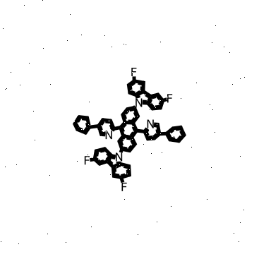 Fc1ccc2c(c1)c1cc(F)ccc1n2-c1ccc2c(-c3ccc(-c4ccccc4)cn3)c3cc(-n4c5ccc(F)cc5c5cc(F)ccc54)ccc3c(-c3ccc(-c4ccccc4)cn3)c2c1